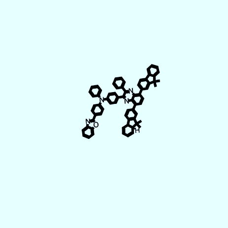 CC1(C)c2ccccc2-c2ccc(-c3ccc(-c4ccc5c(c4)C(C)(C)[C@@H]4C=CC=CC54)c4nc(-c5ccc(N(c6ccccc6)c6ccc(-c7nc8ccccc8o7)cc6)cc5)c(-c5ccccc5)nc34)cc21